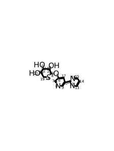 O[C@@H]1[C@@H](O)[C@H](Oc2cncc(-c3ncccn3)c2)SC[C@H]1O